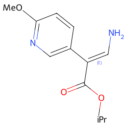 COc1ccc(/C(=C\N)C(=O)OC(C)C)cn1